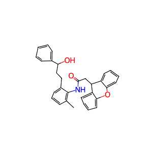 Cc1cccc(CCC(O)c2ccccc2)c1NC(=O)CC1c2ccccc2Oc2ccccc21